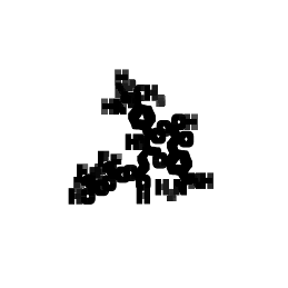 CN(C(=N)N)c1ccc(C(=O)N[C@H](CCC(=O)O)COc2cc(C(=N)N)ccc2CC(=O)C(=O)O)cc1.O=C(O)C(F)(F)F.O=C(O)C(F)(F)F